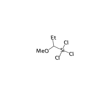 CCC(OC)[Si](Cl)(Cl)Cl